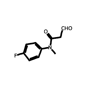 CN(C(=O)CC=O)c1ccc(F)cc1